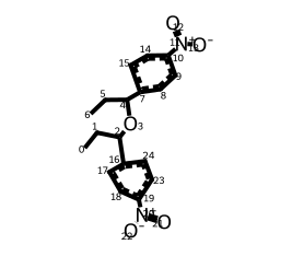 CCC(OC(CC)c1ccc([N+](=O)[O-])cc1)c1ccc([N+](=O)[O-])cc1